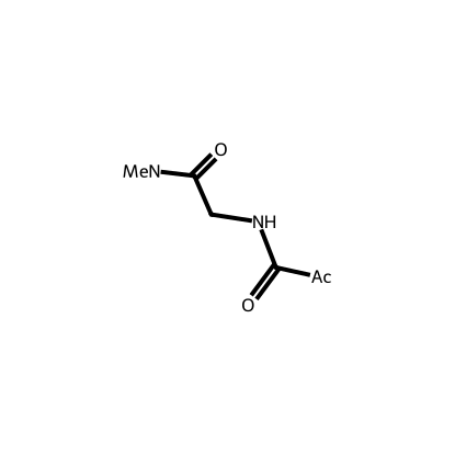 CNC(=O)CNC(=O)C(C)=O